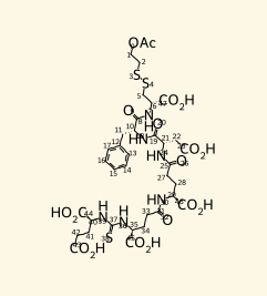 CC(=O)OCCSSC[C@@H](NC(=O)[C@@H](Cc1ccccc1)NC(=O)[C@H](CC(=O)O)NC(=O)CC[C@H](NC(=O)CC[C@H](NC(=S)N[C@@H](CCC(=O)O)C(=O)O)C(=O)O)C(=O)O)C(=O)O